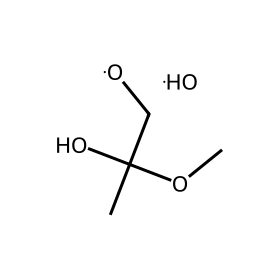 COC(C)(O)C[O].[OH]